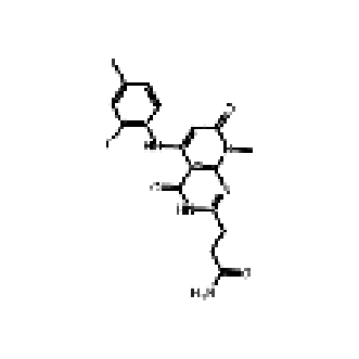 Cn1c(=O)cc(Nc2ccc(I)cc2F)c2c(=O)[nH]c(CCC(N)=O)nc21